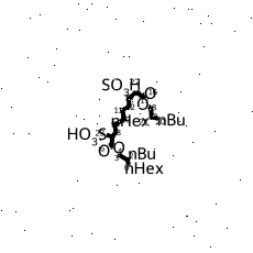 CCCCCCC(CCCC)COC(=O)C(CCCCCCC(C(=O)OCC(CCCC)CCCCCC)S(=O)(=O)O)S(=O)(=O)O